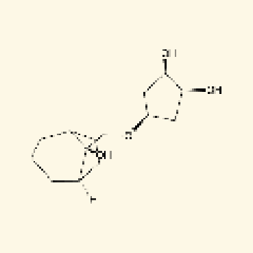 O[C@@H]1C[C@H](OC[C@@]2(O)C3CCC[C@@H]2CC3)C[C@@H]1O